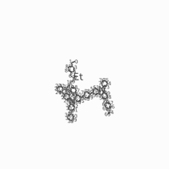 C=Cc1ccc(CC(CC)CCCCC2(c3ccccc3)c3ccccc3-c3ccc(N(c4ccc(-c5ccccc5)cc4)c4ccc(-c5ccc(-c6ccc7c(c6)c6cc(-c8ccc(C=C)cc8)ccc6n7-c6ccccc6)cc5)cc4)cc32)cc1